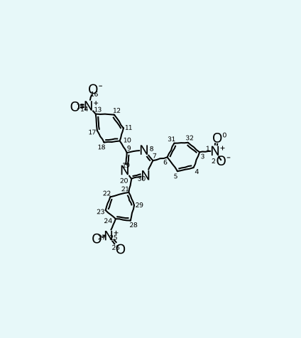 O=[N+]([O-])c1ccc(-c2nc(-c3ccc([N+](=O)[O-])cc3)nc(-c3ccc([N+](=O)[O-])cc3)n2)cc1